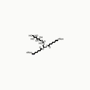 CCCCCCCCCC=CCCCCC(=O)OC[C@H](COP(=O)(O)OC[C@@H](O)[C@@H](O)[C@H](O)[C@H](O)CO)OC(=O)CCCC/C=C\CCCCCCCCC